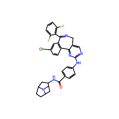 CN1C2CCC1CC(NC(=O)c1ccc(Nc3ncc4c(n3)-c3ccc(Cl)cc3C(c3c(F)cccc3F)=NC4)cc1)C2